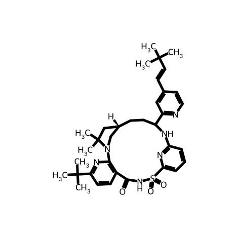 CC(C)(C)/C=C/c1ccnc(C2CC[C@@H]3CN(c4nc(C(C)(C)C)ccc4C(=O)NS(=O)(=O)c4cccc(n4)N2)C(C)(C)C3)c1